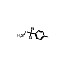 CCC(CC)(O[SiH3])c1ccc(F)cc1